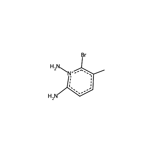 Cc1ccc(N)[n+](N)c1Br